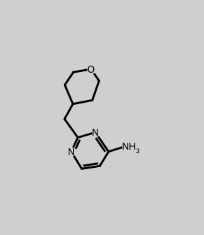 Nc1ccnc(CC2CCOCC2)n1